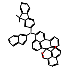 CC1(C)c2ccccc2-c2ccc(N(c3ccc4ccccc4c3)c3ccc4c5c(cccc35)C3(c5ccccc5-c5cccc6cccc3c56)c3ccccc3-4)cc21